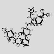 CN1c2c(cccc2C2CCN(Cc3nc4ccc(C(=O)O)nc4n3CC3CCO3)CC2)OCC1c1ccc(Cl)cc1F